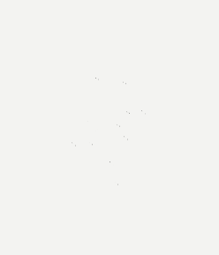 [C]1=NN(c2cnsn2)N(c2nncs2)N1c1csnn1